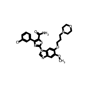 COc1cc2ncn(-c3nc(-c4cccc(Cl)c4)c(C(N)=O)s3)c2cc1OCCCN1CCOCC1